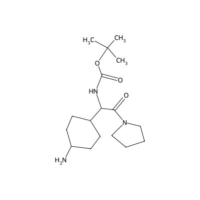 CC(C)(C)OC(=O)NC(C(=O)N1CCCC1)C1CCC(N)CC1